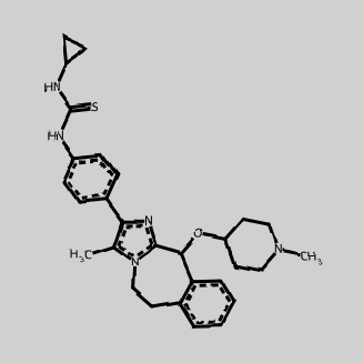 Cc1c(-c2ccc(NC(=S)NC3CC3)cc2)nc2n1CCc1ccccc1C2OC1CCN(C)CC1